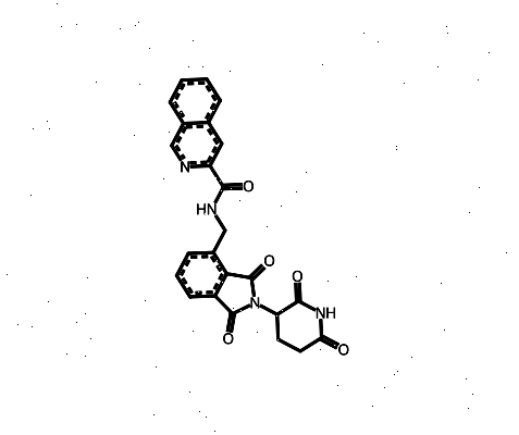 O=C1CCC(N2C(=O)c3cccc(CNC(=O)c4cc5ccccc5cn4)c3C2=O)C(=O)N1